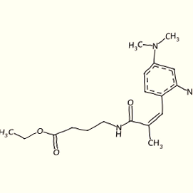 CCOC(=O)CCCNC(=O)C(C)=Cc1ccc(N(C)C)cc1N